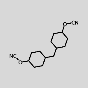 N#COC1CCC(CC2CCC(OC#N)CC2)CC1